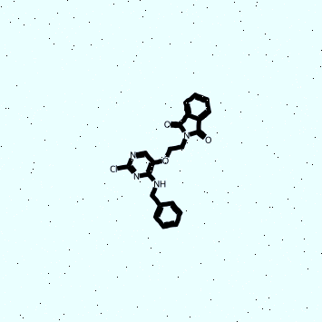 O=C1c2ccccc2C(=O)N1CCOc1cnc(Cl)nc1NCc1ccccc1